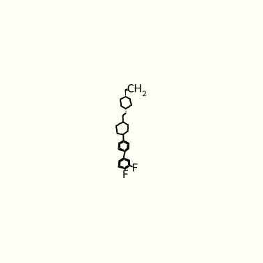 C=C[C@H]1CC[C@H](CCC2CCC(c3ccc(-c4ccc(F)c(F)c4)cc3)CC2)CC1